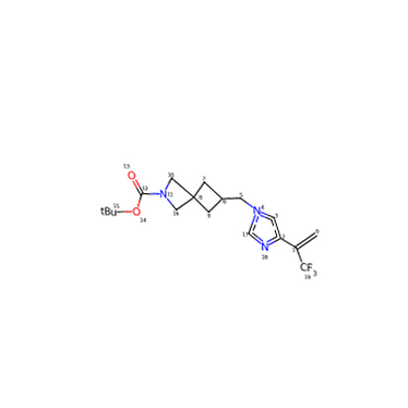 C=C(c1cn(CC2CC3(C2)CN(C(=O)OC(C)(C)C)C3)cn1)C(F)(F)F